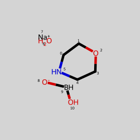 C1COCCN1.O.[Na+].[O-]BO